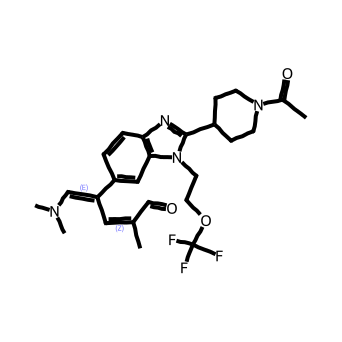 CC(=O)N1CCC(c2nc3ccc(C(/C=C(/C)C=O)=C/N(C)C)cc3n2CCOC(F)(F)F)CC1